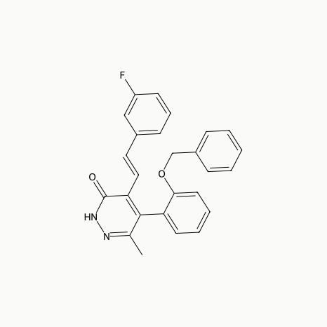 Cc1n[nH]c(=O)c(C=Cc2cccc(F)c2)c1-c1ccccc1OCc1ccccc1